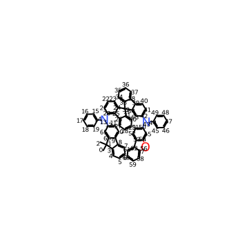 CC1(C)c2ccccc2-c2ccc(N(c3ccccc3)c3cccc4c3-c3ccccc3C43c4ccccc4-c4ccc(N(c5ccccc5)c5ccc6c(c5)oc5ccccc56)cc43)cc21